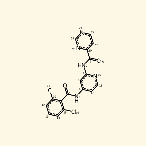 O=C(Nc1cc(NC(=O)c2c(Cl)cccc2Cl)ccn1)c1ccncn1